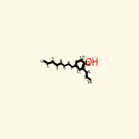 CCCCCCCCc1ccc(O)c(CCC)c1